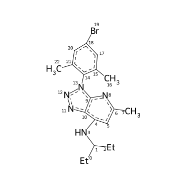 CCC(CC)Nc1cc(C)nc2c1nnn2-c1c(C)cc(Br)cc1C